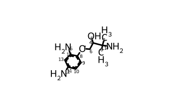 CC(C)(N)C(O)COc1ccc(N)cc1N